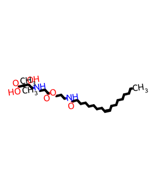 CCCCCCCC/C=C\CCCCCCCC(=O)NCCCOC(=O)CCNCC(O)C(C)(C)C(=O)O